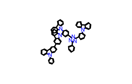 c1ccc(-c2nc(-c3cccc(-n4c5ccccc5c5ccccc54)c3)nc(-c3ccc(-n4c5ccccc5c5ccccc54)c(-n4c5ccccc5c5cc(-c6ccc7c(c6)c6ccccc6n7-c6ccccc6)ccc54)c3)n2)cc1